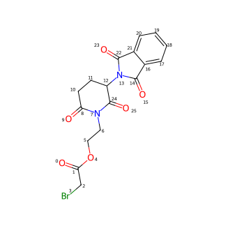 O=C(CBr)OCCN1C(=O)CCC(N2C(=O)c3ccccc3C2=O)C1=O